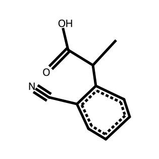 CC(C(=O)O)c1ccccc1C#N